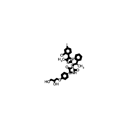 Cc1nc([C@H]([C@H](C)c2ccccc2)N2C(=O)N[C@H](c3ccc(OC[C@@H](O)CO)cc3)C2=O)[nH]c1-c1ccc(I)cc1Cl